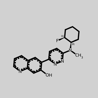 CN(c1ccc(-c2cc3cccnc3cc2O)nn1)[C@@H]1CCCC[C@@H]1F